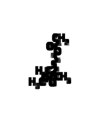 C=CC(=O)OCCSCC(C)(C)C(=O)OC